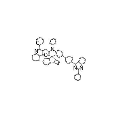 c1ccc(-c2nc(-c3ccc(-c4ccc5c(c4)C4(c6ccccc6-c6ccccc64)c4cc6c(cc4N5c4ccccc4)c(-c4ccccc4)nc4ccccc46)cc3)c3ccccc3n2)cc1